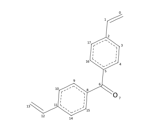 C=Cc1ccc(C(=O)c2ccc(C=C)cc2)cc1